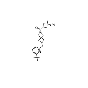 CC(C)(C)c1cccc(CC2CC3(C2)CN(C(=O)[C@H]2C[C@@](C)(O)C2)C3)n1